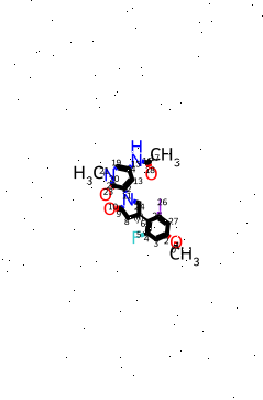 COc1cc(F)c([C@H]2CC(=O)N(c3cc(NC(C)=O)cn(C)c3=O)C2)c(I)c1